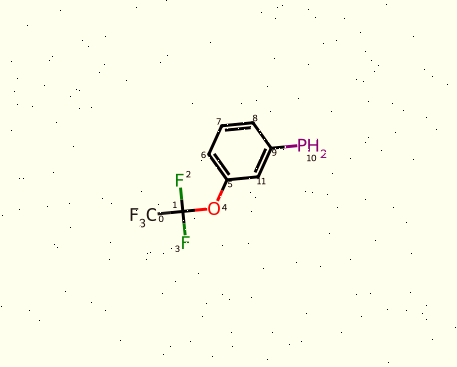 FC(F)(F)C(F)(F)Oc1cccc(P)c1